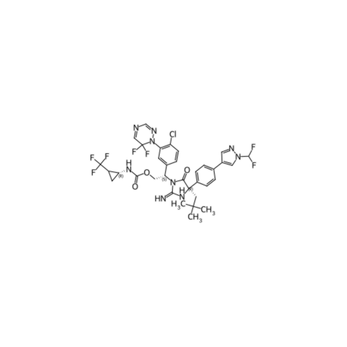 CC(C)(C)C[C@]1(c2ccc(-c3cnn(C(F)F)c3)cc2)NC(=N)N([C@H](COC(=O)N[C@@H]2CC2C(F)(F)F)c2ccc(Cl)c(N3N=CN=CC3(F)F)c2)C1=O